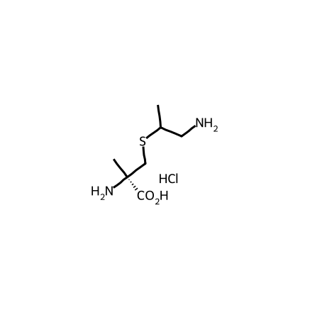 CC(CN)SC[C@](C)(N)C(=O)O.Cl